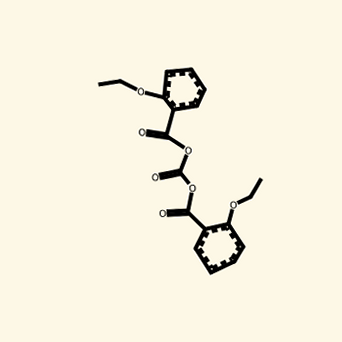 CCOc1ccccc1C(=O)OC(=O)OC(=O)c1ccccc1OCC